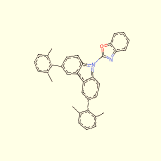 Cc1cccc(C)c1-c1ccc2c(c1)c1cc(-c3c(C)cccc3C)ccc1n2-c1nc2ccccc2o1